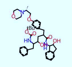 C[C@H](COc1ccc(CC(CC(O)C(Cc2ccccc2)NC(=O)OC(C)(C)C)C(=O)NC2c3ccccc3CC2O)cc1)N1CCOCC1